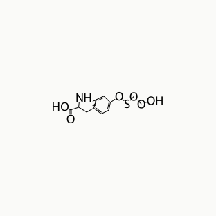 NC(Cc1ccc(OSOOO)cc1)C(=O)O